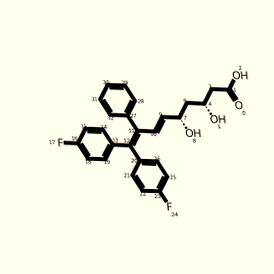 O=C(O)C[C@H](O)C[C@H](O)/C=C/C(=C(c1ccc(F)cc1)c1ccc(F)cc1)c1ccccc1